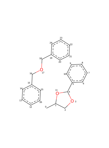 CC1COC(c2ccccc2)O1.c1ccc(COCc2ccccc2)cc1